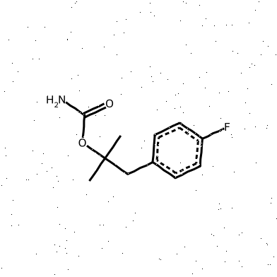 CC(C)(Cc1ccc(F)cc1)OC(N)=O